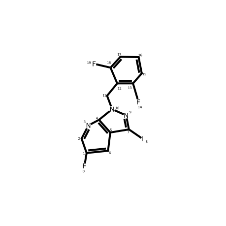 Fc1cnc2c(c1)c(I)nn2Cc1c(F)cccc1F